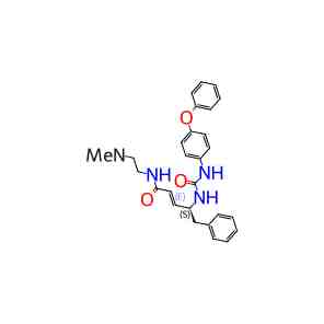 CNCCNC(=O)/C=C/[C@H](Cc1ccccc1)NC(=O)Nc1ccc(Oc2ccccc2)cc1